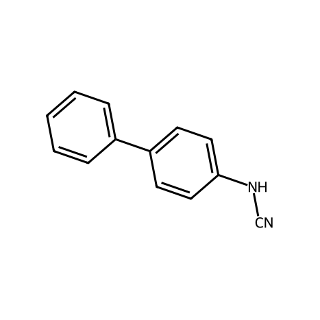 N#CNc1ccc(-c2ccccc2)cc1